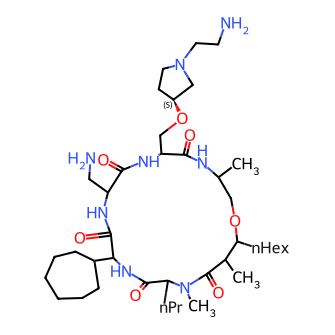 CCCCCCC1OCC(C)NC(=O)C(CO[C@H]2CCN(CCN)C2)NC(=O)C(CN)NC(=O)C(C2CCCCCC2)NC(=O)C(CCC)N(C)C(=O)C1C